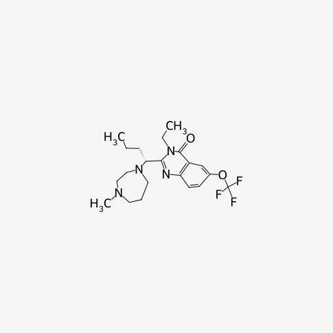 CCC[C@H](c1nc2ccc(OC(F)(F)F)cc2c(=O)n1CC)N1CCCN(C)CC1